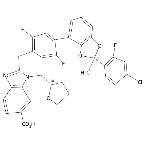 CC1(c2ccc(Cl)cc2F)Oc2cccc(-c3cc(F)c(Cc4nc5ccc(C(=O)O)cc5n4C[C@@H]4CCCO4)cc3F)c2O1